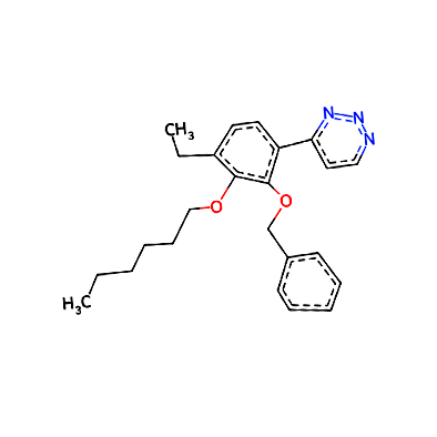 CCCCCCOc1c(CC)ccc(-c2ccnnn2)c1OCc1ccccc1